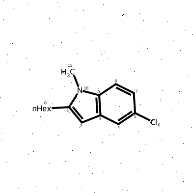 CCCCCCc1cc2cc(Cl)ccc2n1C